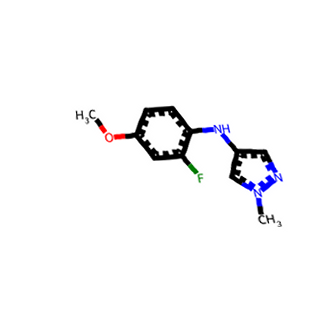 COc1ccc(Nc2cnn(C)c2)c(F)c1